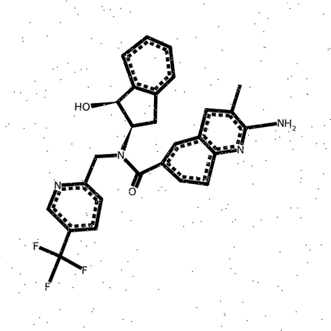 Cc1cc2cc(C(=O)N(Cc3ccc(C(F)(F)F)cn3)[C@@H]3Cc4ccccc4[C@@H]3O)ccc2nc1N